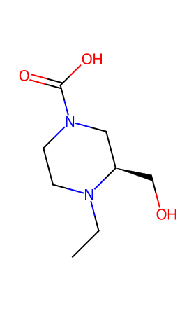 CCN1CCN(C(=O)O)C[C@H]1CO